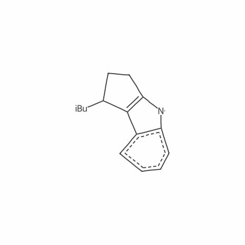 CCC(C)C1CCC2=C1c1ccccc1[N]2